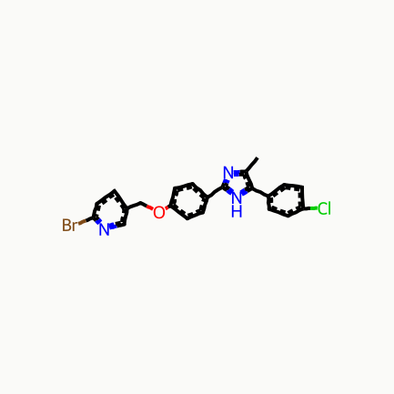 Cc1nc(-c2ccc(OCc3ccc(Br)nc3)cc2)[nH]c1-c1ccc(Cl)cc1